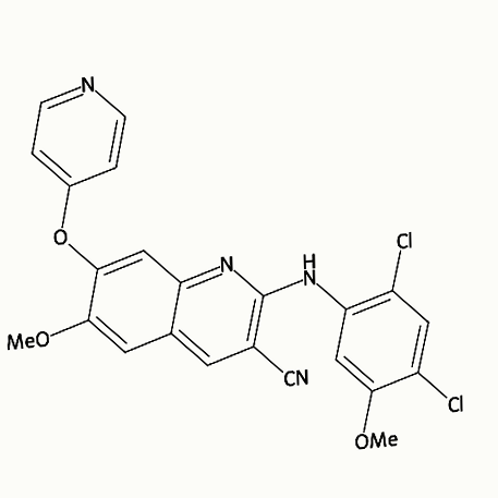 COc1cc(Nc2nc3cc(Oc4ccncc4)c(OC)cc3cc2C#N)c(Cl)cc1Cl